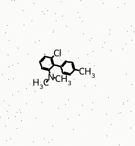 Cc1ccc(-c2c(Cl)[c]ccc2N(C)C)cc1